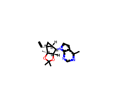 C=C[C@]12C[C@@H]1[C@@H](n1ccc3c(C)ncnc31)[C@@H]1OC(C)(C)O[C@]12C